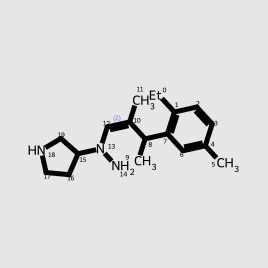 CCc1ccc(C)cc1C(C)/C(C)=C\N(N)C1CCNC1